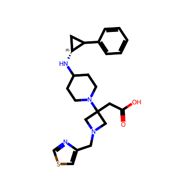 O=C(O)CC1(N2CCC(N[C@@H]3CC3c3ccccc3)CC2)CN(Cc2cscn2)C1